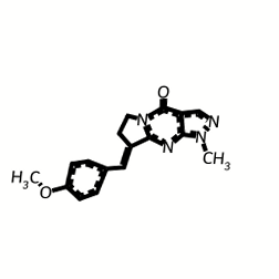 COc1ccc(/C=C2\CCn3c2nc2c(cnn2C)c3=O)cc1